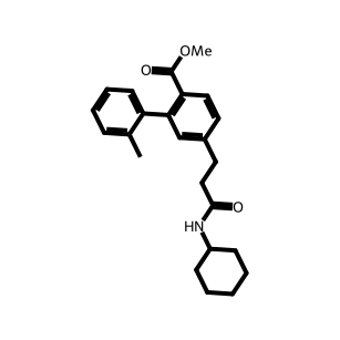 COC(=O)c1ccc(CCC(=O)NC2CCCCC2)cc1-c1ccccc1C